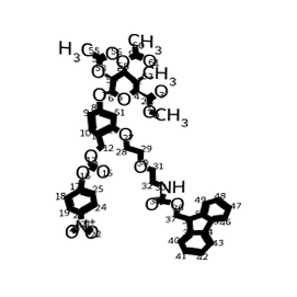 COC(=O)[C@H]1O[C@@H](Oc2ccc(COC(=O)Oc3ccc([N+](=O)[O-])cc3)c(OCCOCCNC(=O)OCC3c4ccccc4-c4ccccc43)c2)[C@@H](OC(C)=O)[C@@H](OC(C)=O)[C@H]1C